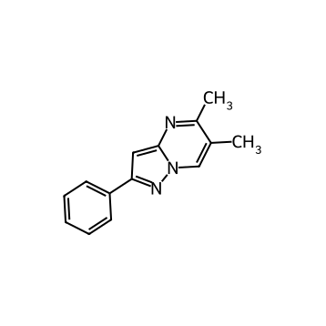 Cc1cn2nc(-c3ccccc3)cc2nc1C